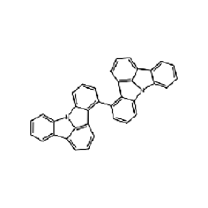 c1ccc2c(c1)c1cccc3c4c(-c5cccc6c5c5cccc7c8ccccc8n6c75)cccc4n2c13